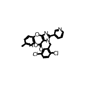 Cc1ccc(Oc2nc(-c3cccnc3)n(Cc3cc(Cl)ccc3Cl)c2C(=O)O)cc1